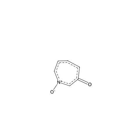 O=c1cccc[n+]([O-])c1